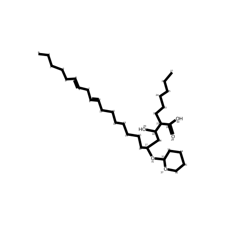 CCCCCC=CCC=CCCCCCCCC(CC(O)C(CCCCCC)C(=O)O)OC1CCCCO1